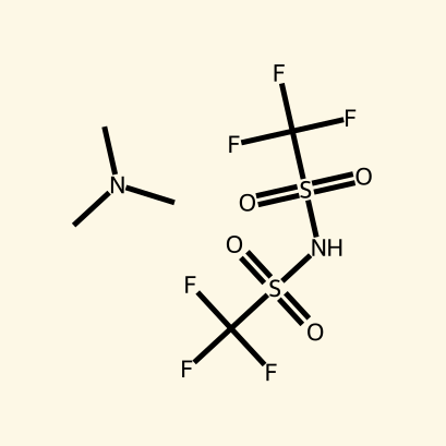 CN(C)C.O=S(=O)(NS(=O)(=O)C(F)(F)F)C(F)(F)F